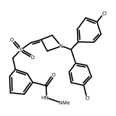 CNNC(=O)c1cccc(CS(=O)(=O)C=C2CN(C(c3ccc(Cl)cc3)c3ccc(Cl)cc3)C2)c1